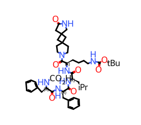 CC(C)C[C@@H](NC(=O)[C@@H](Cc1ccccc1)NC(=O)[C@@H](Cc1ccccc1)NC(=O)O)C(=O)N[C@H](CCCCNC(=O)OC(C)(C)C)C(=O)N1CCC2(CC1)CC1(CNC(=O)C1)C2